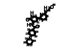 COCCNc1cccc(-c2c[nH]c(=O)c(NC(=O)c3ccc(N4CCCCC4)cc3)c2)n1